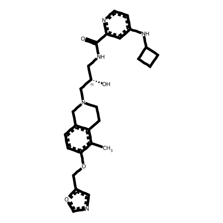 Cc1c(OCc2cnco2)ccc2c1CCN(C[C@@H](O)CNC(=O)c1cc(NC3CCC3)ccn1)C2